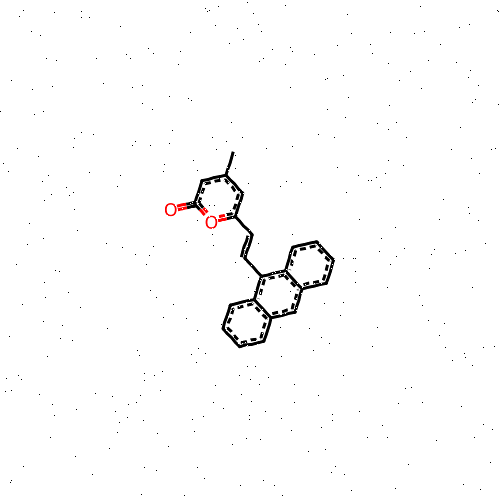 Cc1cc(C=Cc2c3ccccc3cc3ccccc23)oc(=O)c1